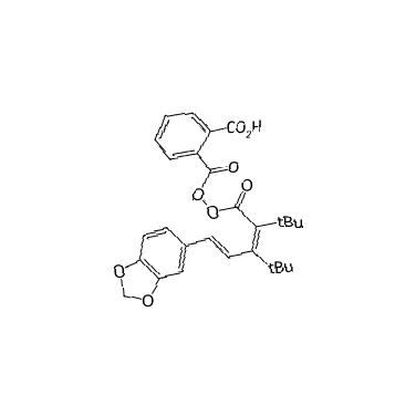 CC(C)(C)C(C=Cc1ccc2c(c1)OCO2)=C(C(=O)OOC(=O)c1ccccc1C(=O)O)C(C)(C)C